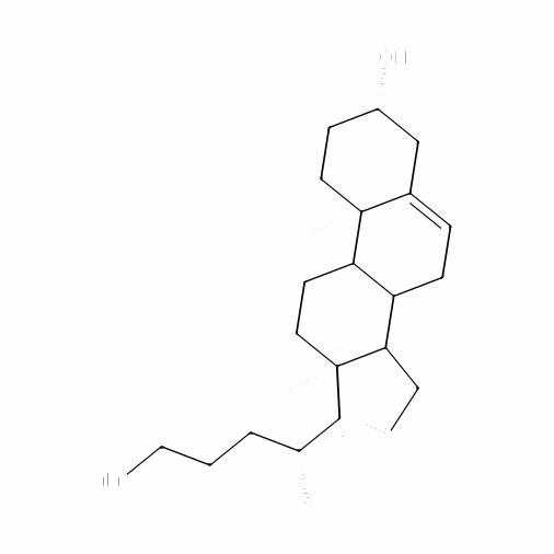 CC(C)CCC[C@@H](C)[C@H]1CCC2C3CC=C4C[C@@H](O)CC[C@]4(C)C3CC[C@@]21C